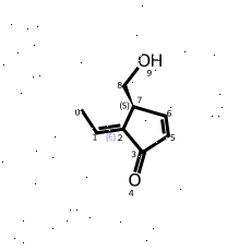 C/C=C1/C(=O)C=C[C@@H]1CO